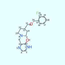 O=c1[nH]ccnc1CN1CCC(COCc2ccccc2F)CC1